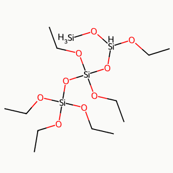 CCO[SiH](O[SiH3])O[Si](OCC)(OCC)O[Si](OCC)(OCC)OCC